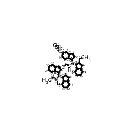 CC[SiH2][Zr+2]([CH]1C=Cc2ccccc21)[CH]1C(CC)=Cc2ccccc21.CC[SiH2][Zr+2]([CH]1C=Cc2ccccc21)[CH]1C=Cc2ccccc21.[Cl-].[Cl-].[Cl-].[Cl-]